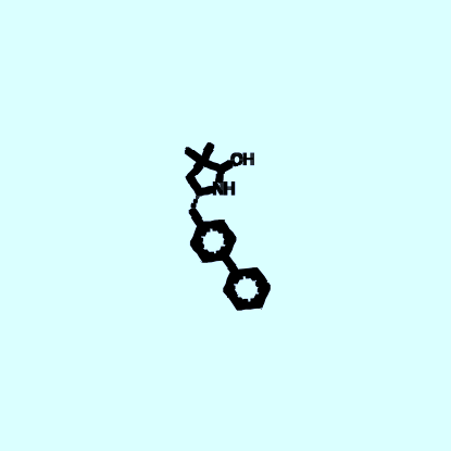 CC1(C)C[C@@H](Cc2ccc(-c3ccccc3)cc2)NC1O